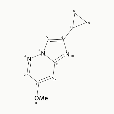 COc1cnn2cc(C3CC3)nc2c1